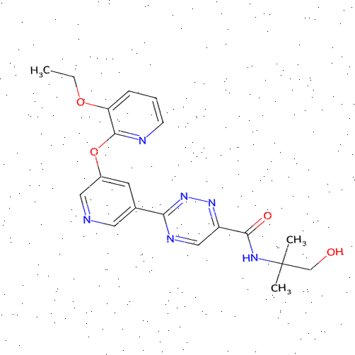 CCOc1cccnc1Oc1cncc(-c2ncc(C(=O)NC(C)(C)CO)nn2)c1